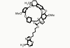 COc1ccc2cc1Oc1ccc(cc1)C[C@H]1c3c(cc(OC)c4c3Oc3cc5c(cc3O4)CCN(C)[C@H]5C2)CCN1C(=O)OCCCCn1cnc2c(N)ncnc21